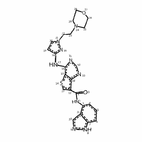 O=C(Nc1cccc2[nH]ncc12)c1csc2c(Nc3ccn(CCN4CCOCC4)n3)ncnc12